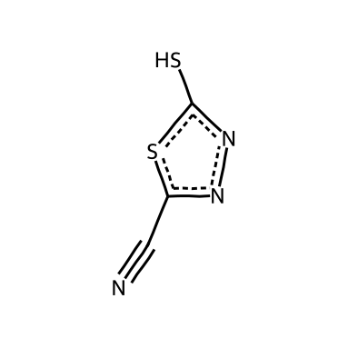 N#Cc1nnc(S)s1